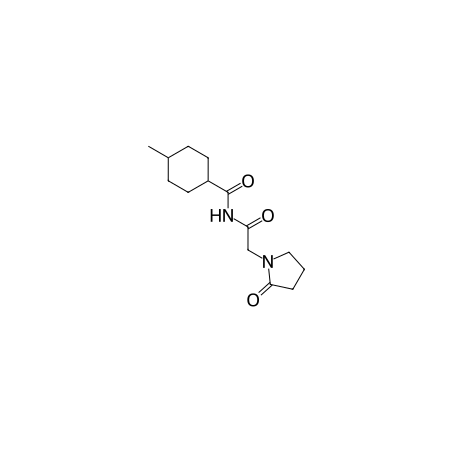 CC1CCC(C(=O)NC(=O)CN2CCCC2=O)CC1